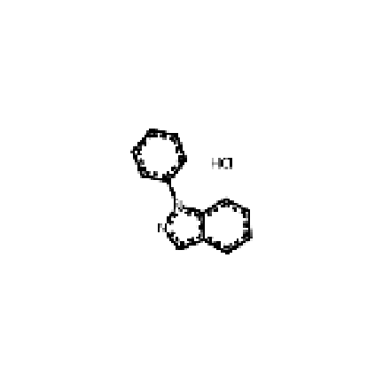 Cl.c1ccc(-n2ncc3ccccc32)cc1